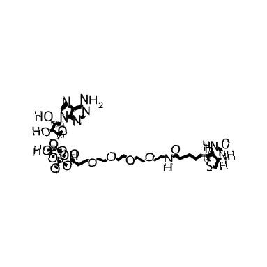 Nc1ncnc2c1ncn2[C@@H]1O[C@H](COP(=O)(O)OP(=O)(O)OC(=O)CCOCCOCCOCCOCCNC(=O)CCCC[C@@H]2SC[C@@H]3NC(=O)N[C@@H]32)C(O)[C@@H]1O